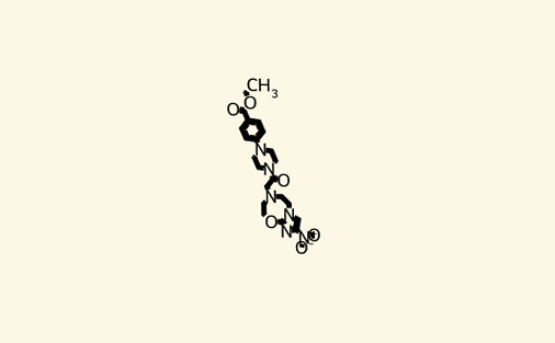 CCOC(=O)c1ccc(N2CCN(C(=O)CN3CCOc4nc([N+](=O)[O-])cn4CC3)CC2)cc1